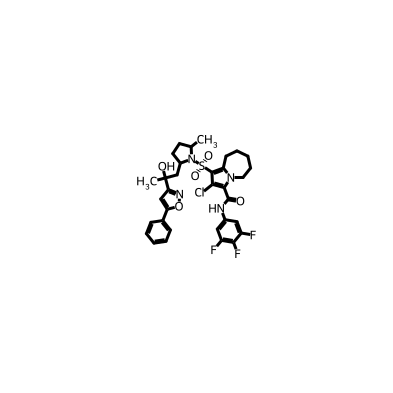 CC1CCC(CC(C)(O)c2cc(-c3ccccc3)on2)N1S(=O)(=O)c1c(Cl)c(C(=O)Nc2cc(F)c(F)c(F)c2)n2c1CCCCC2